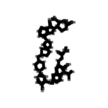 CNC(=O)COc1cc2cc(Nc3nc(N4CCC(CN5CCC6(CCN(c7cccc8c7CN(C7CCC(=O)NC7O)C8=O)C6)C5)CC4)ncc3Cl)ccc2n(C(C)C)c1=O